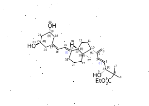 C=C(/C=C/[C@@H](O)C(C)(C)C(=O)OCC)[C@H]1CC[C@H]2/C(=C/C=C3C[C@@H](O)C[C@H](O)C3)CCC[C@]12C